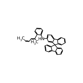 C/C=C\C=C(/C)c1ccccc1Nc1ccc2c(c1)C1(c3ccccc3-c3ccccc31)c1ccccc1-2